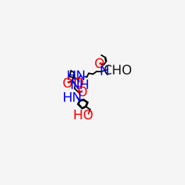 C/C=C\C(=O)N(C=O)CCCCCNC(=O)C1(C(=O)NCC(=O)Nc2ccc(CO)cc2)CCC1